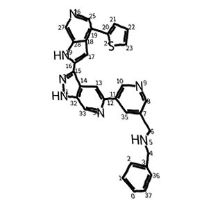 c1ccc(CNCc2cncc(-c3cc4c(-c5cc6c(-c7cccs7)cncc6[nH]5)n[nH]c4cn3)c2)cc1